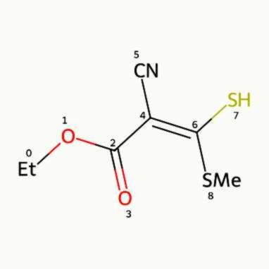 CCOC(=O)/C(C#N)=C(/S)SC